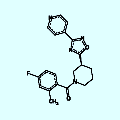 Cc1cc(F)ccc1C(=O)N1CCC[C@H](c2nc(-c3ccncc3)no2)C1